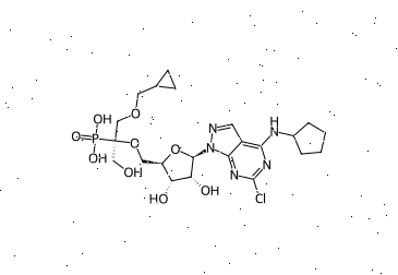 O=P(O)(O)[C@@](CO)(COCC1CC1)OC[C@H]1O[C@@H](n2ncc3c(NC4CCCC4)nc(Cl)nc32)[C@H](O)[C@@H]1O